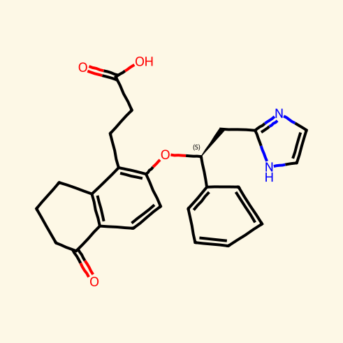 O=C(O)CCc1c(O[C@@H](Cc2ncc[nH]2)c2ccccc2)ccc2c1CCCC2=O